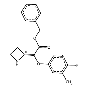 Cc1cc(OC(C(=O)OCc2ccccc2)[C@@H]2CCN2)cnc1F